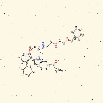 COC(=O)c1ccc2c(C3CCCCC3)c3n(c2c1)C[C@@H](NCCOCCOCc1ccccc1)COc1ccccc1-3